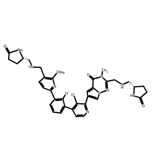 COc1nc(-c2cccc(-c3ccnc(-c4cc5c(=O)n(C)c(CNC[C@@H]6CCC(=O)N6)nn5c4)c3Cl)c2Cl)ccc1CNC[C@@H]1CCC(=O)N1